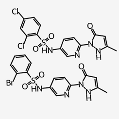 Cc1cc(=O)n(-c2ccc(NS(=O)(=O)c3ccc(Cl)cc3Cl)cn2)[nH]1.Cc1cc(=O)n(-c2ccc(NS(=O)(=O)c3ccccc3Br)cn2)[nH]1